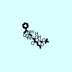 CCCC(NC(=O)OC(C)(C)C)C(=O)[C@H](O)NCC(=O)N[C@H](C=O)c1ccccc1